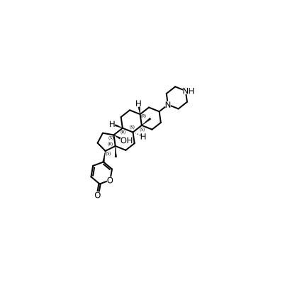 C[C@]12CCC(N3CCNCC3)C[C@H]1CC[C@@H]1[C@@H]2CC[C@]2(C)[C@@H](c3ccc(=O)oc3)CC[C@]12O